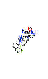 C[C@H](c1ccccc1C(F)(F)F)n1nnc2c1CCN(c1cn[nH]c(=O)c1C#N)C2